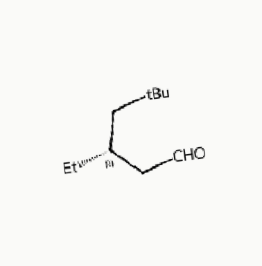 CC[C@@H](CC=O)CC(C)(C)C